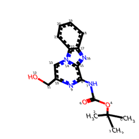 CC(C)(C)OC(=O)Nc1nc(CO)cn2c1nc1ccccc12